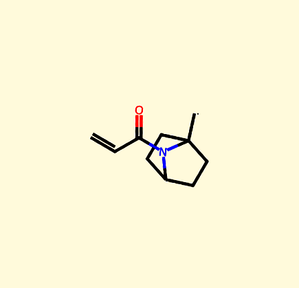 [CH2]C12CCC(CC1)N2C(=O)C=C